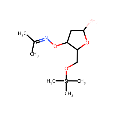 BC1CC(ON=C(C)C)C(CO[Si](C)(C)C)O1